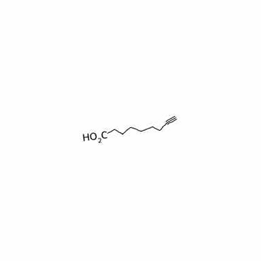 C#CCCCCCCC(=O)O